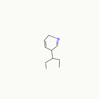 CCC(CC)C1C=CCN=C1